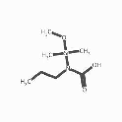 CCCN(C(=O)O)[Si](C)(C)OC